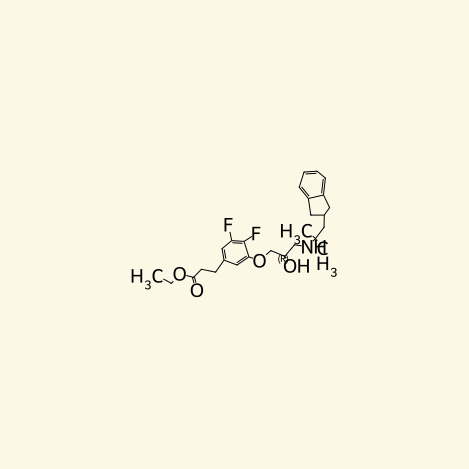 CCOC(=O)CCc1cc(F)c(F)c(OC[C@H](O)CNC(C)(C)CC2Cc3ccccc3C2)c1